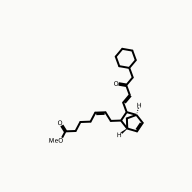 COC(=O)CCC/C=C\CC1C(C=CC(=O)CC2CCCCC2)[C@H]2C=C[C@H]1C2